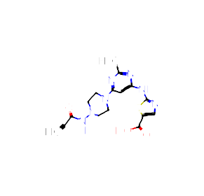 C#CC(=O)NN1CCN(c2cc(Nc3ncc(C(=O)O)s3)nc(C)n2)CC1